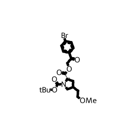 COCCC1C[C@@H](C(=O)OCC(=O)c2ccc(Br)cc2)N(C(=O)OC(C)(C)C)C1